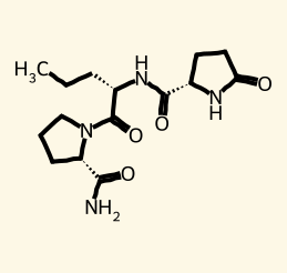 CCC[C@H](NC(=O)[C@@H]1CCC(=O)N1)C(=O)N1CCC[C@H]1C(N)=O